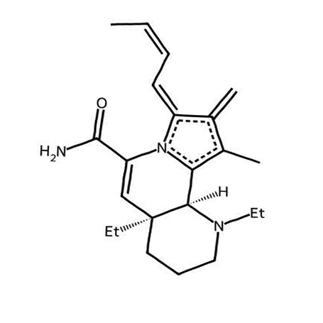 C=c1c(C)c2n(/c1=C/C=C\C)C(C(N)=O)=C[C@]1(CC)CCCN(CC)[C@H]21